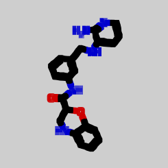 Nc1ncccc1NCc1cccc(NC(=O)C2CNc3ccccc3O2)c1